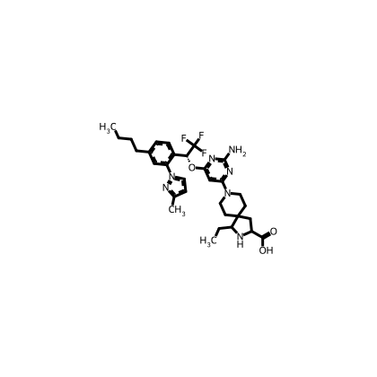 CCCCc1ccc([C@@H](Oc2cc(N3CCC4(CC3)CC(C(=O)O)NC4CC)nc(N)n2)C(F)(F)F)c(-n2ccc(C)n2)c1